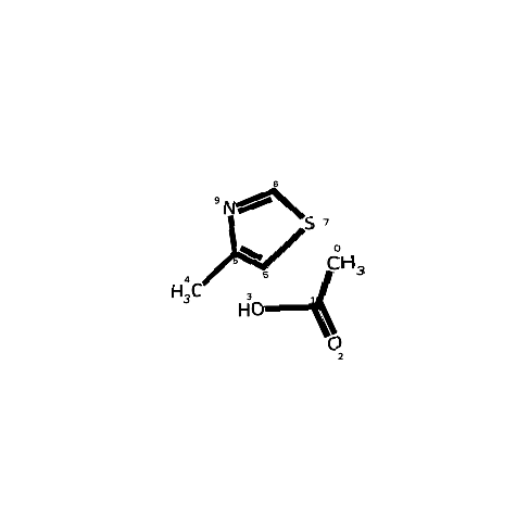 CC(=O)O.Cc1cscn1